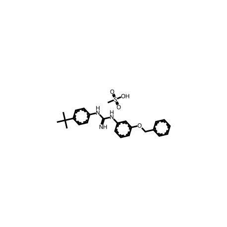 CC(C)(C)c1ccc(NC(=N)Nc2cccc(OCc3ccccc3)c2)cc1.CS(=O)(=O)O